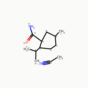 CC#N.CC1CCC(C(C)C)C(C(N)=O)C1